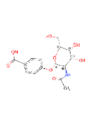 CC(=O)N[C@H]1[C@H](Oc2ccc(C(=O)O)cc2)O[C@H](CO)[C@H](O)[C@@H]1O